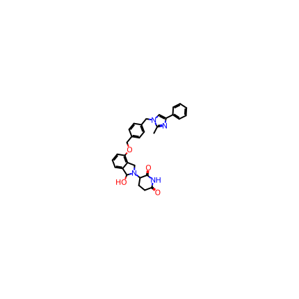 Cc1nc(-c2ccccc2)cn1Cc1ccc(COc2cccc3c2CN(C2CCC(=O)NC2=O)C3O)cc1